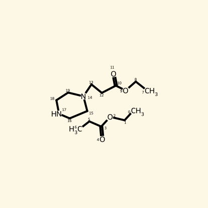 CCOC(=O)CC.CCOC(=O)CCN1CCNCC1